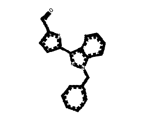 O=Cc1ccc(-c2nn(Cc3ccccc3)c3ccccc23)s1